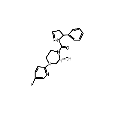 C[C@H]1CN(c2ccc(F)cn2)CCN1C(=O)N1N=CCC1c1ccccc1